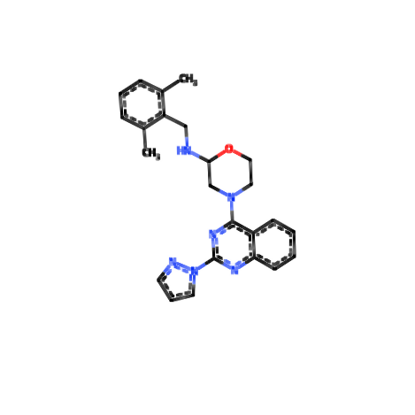 Cc1cccc(C)c1CNC1CN(c2nc(-n3cccn3)nc3ccccc23)CCO1